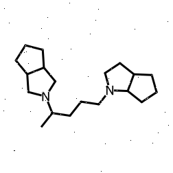 CC(CCCN1CCC2CCCC21)N1CC2CCCC2C1